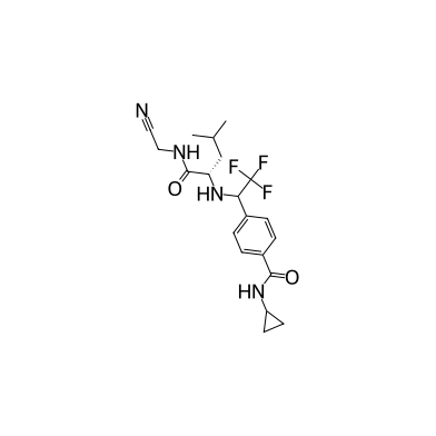 CC(C)C[C@H](NC(c1ccc(C(=O)NC2CC2)cc1)C(F)(F)F)C(=O)NCC#N